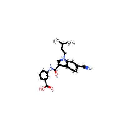 CC(C)CCn1cc(C(=O)Nc2cccc(C(=O)O)c2)c2ccc(C#N)cc21